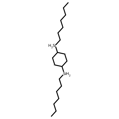 CCCCCCC[SiH2]C1[CH]CC([SiH2]CCCCCCC)[CH]C1